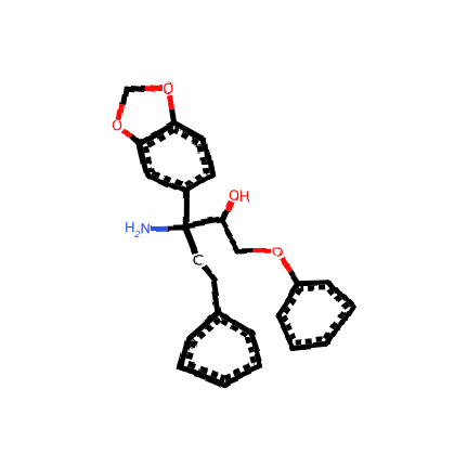 NC(CCc1ccccc1)(c1ccc2c(c1)OCO2)C(O)COc1ccccc1